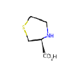 O=C(O)[C@H]1CSCCN1